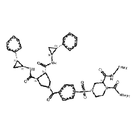 CCCCCCCC(=O)N1CCN(S(=O)(=O)c2ccc(C(=O)N3C[C@@H](C(=O)N[C@H]4C[C@@H]4c4ccccc4)[C@H](C(=O)N[C@H]4C[C@@H]4c4ccccc4)C3)cc2)C[C@H]1C(=O)NCCCCCC